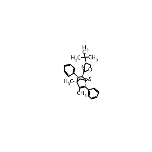 CC1=C(c2ccccc2)[P@]2(=S)C[C@]1(C)[C@@H](c1ccccc1)[C@H]2C1=N[C@@H](C(C)(C)C)CO1